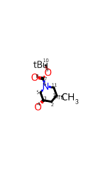 C[C@@H]1CC(=O)CN(C(=O)OC(C)(C)C)C1